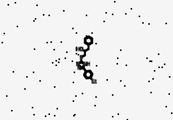 CCc1ccc(-c2nnc(SCC(O)Cc3ccccc3)[nH]2)cc1